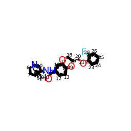 O=C(N[C@H]1CN2CCC1CC2)c1ccc2c(c1)OC[C@H](COc1ccccc1F)O2